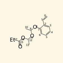 C=Cc1ccccc1OC(C)OC(C)OC(=O)CC